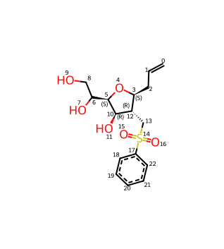 C=CC[C@@H]1O[C@H](C(O)CO)[C@H](O)[C@H]1CS(=O)(=O)c1ccccc1